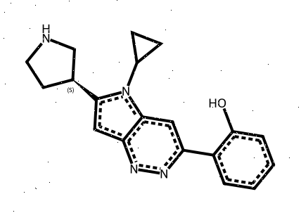 Oc1ccccc1-c1cc2c(cc([C@H]3CCNC3)n2C2CC2)nn1